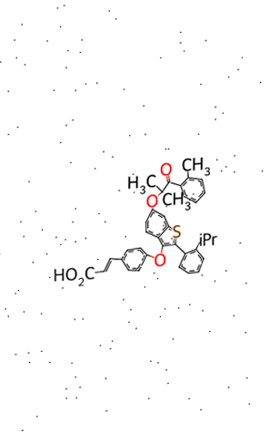 Cc1ccccc1C(=O)C(C)(C)Oc1ccc2c(Oc3ccc(/C=C/C(=O)O)cc3)c(-c3ccccc3C(C)C)sc2c1